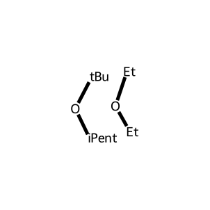 CCCC(C)OC(C)(C)C.CCOCC